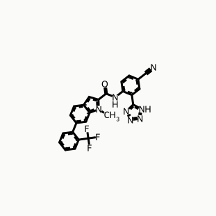 Cn1c(C(=O)Nc2ccc(C#N)cc2-c2nnn[nH]2)cc2ccc(-c3ccccc3C(F)(F)F)cc21